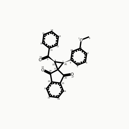 COc1cccc([C@H]2[C@H](C(=O)c3ccccc3)C23C(=O)c2ccccc2C3=O)c1